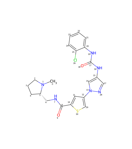 CN1CCC[C@H]1CNC(=O)c1cc(-n2cc(NC(=O)Nc3ccccc3Cl)cn2)cs1